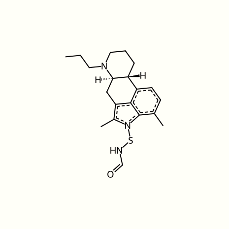 CCCN1CCC[C@@H]2c3ccc(C)c4c3c(c(C)n4SNC=O)C[C@H]21